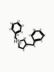 c1ccc(CC2CC[SH](Cc3ccccc3)C2)cc1